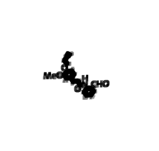 C#CCCOc1ccc(/C=C/C(=O)Nc2ccccc2C=O)cc1OC